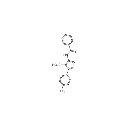 O=C(Nc1scc(-c2ccc(C(F)(F)F)cc2)c1C(=O)O)c1ccccc1